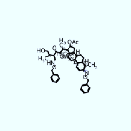 CC(=O)O[C@H]1C[C@@]2(C)[C@@H]3CC[C@H]4[C@H](C)/C(=N/OCc5ccccc5)C=C[C@@]45C[C@@]35CC[C@]2(C)[C@H]1[C@H](C)[C@@H](OC(C)=O)C(=O)C(CNOCc1ccccc1)[C@@H](C)CO